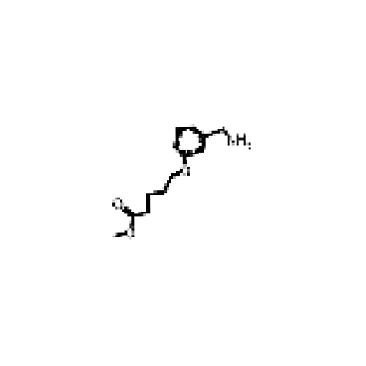 COC(=O)CCCCOc1cccc(CN)c1